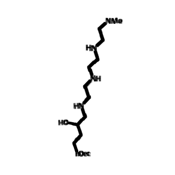 CCCCCCCCCCCCC(O)CNCCNCCNCCNC